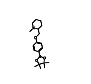 CN1CCCCC1COc1ccc(B2OC(C)(C)C(C)(C)O2)cc1